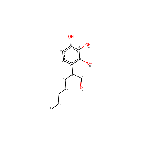 CCCCCC(C=O)c1ccc(O)c(O)c1O